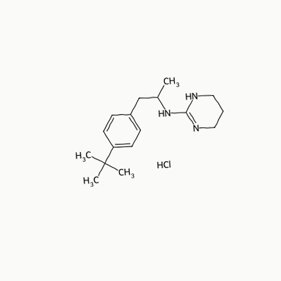 CC(Cc1ccc(C(C)(C)C)cc1)NC1=NCCCN1.Cl